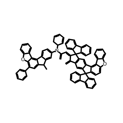 C=C1/C(=C\C(=C)N(c2ccc3c(c2)C(C)c2cc(-c4ccccc4)c4oc5ccccc5c4c2-3)C2C=CC=CC2)C2(c3cc4c(cc31)C1(c3ccccc3-c3ccccc31)c1ccc3oc5ccccc5c3c1-4)c1ccccc1-c1ccccc12